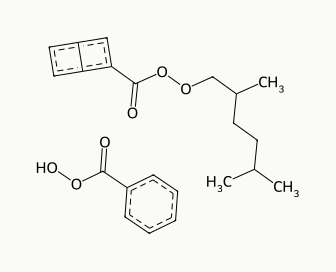 CC(C)CCC(C)COOC(=O)c1cc2ccc1-2.O=C(OO)c1ccccc1